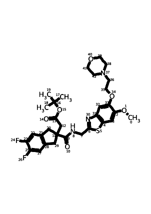 COc1cc2sc(CNC(=O)C3(CC(=O)OC(C)(C)C)Cc4cc(F)c(F)cc4C3)nc2cc1OCCN1CCOCC1